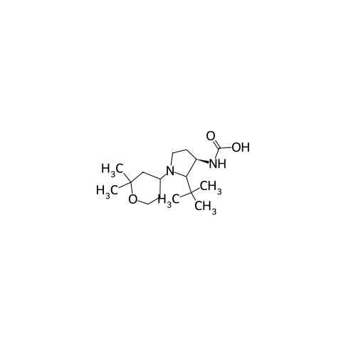 CC1(C)CC(N2CC[C@@H](NC(=O)O)C2C(C)(C)C)CCO1